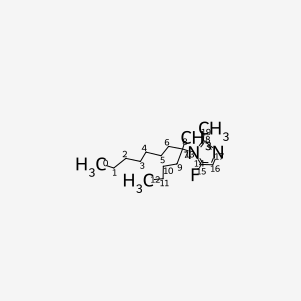 CCCCCCCC(C)(CCCC)n1c(F)cnc1C